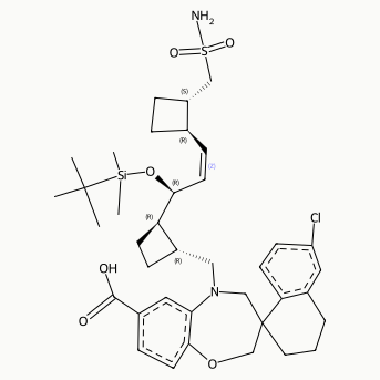 CC(C)(C)[Si](C)(C)O[C@@H](/C=C\[C@H]1CC[C@@H]1CS(N)(=O)=O)[C@@H]1CC[C@H]1CN1CC2(CCCc3cc(Cl)ccc32)COc2ccc(C(=O)O)cc21